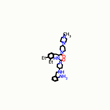 CCc1ccc(CC(NC(=O)N2CCC(NCc3ccccc3N)CC2)C(=O)N2CCC(N3CCN(C)CC3)CC2)cc1CC